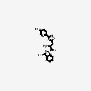 NC(Cc1nc(-c2ccc(O)cn2)no1)C(=O)n1nc(O)c2ccccc21